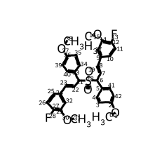 COc1ccc(C(C=Cc2ccc(F)c(OC)c2)S(=O)(=O)C(C=Cc2ccc(F)c(OC)c2)c2ccc(OC)cc2)cc1